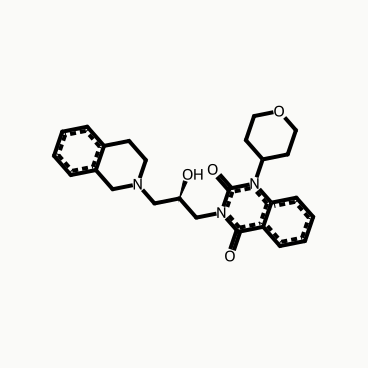 O=c1c2ccccc2n(C2CCOCC2)c(=O)n1C[C@H](O)CN1CCc2ccccc2C1